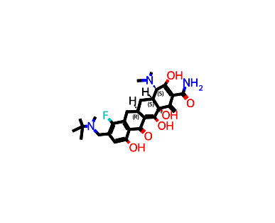 C=C1C(C(N)=O)=C(O)[C@@H](N(C)C)[C@@H]2C[C@@H]3Cc4c(F)c(CN(C)C(C)(C)C)cc(O)c4C(=O)C3=C(O)[C@]12O